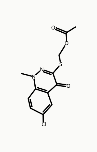 CC(=O)OCSc1nn(C)c2ccc(Cl)cc2c1=O